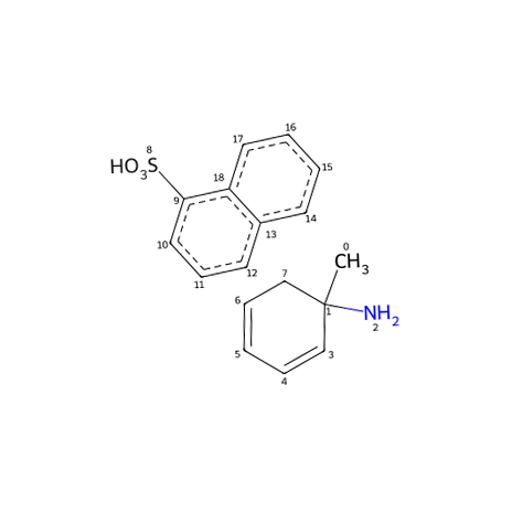 CC1(N)C=CC=CC1.O=S(=O)(O)c1cccc2ccccc12